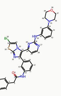 O=C(Cc1ccccc1)Nc1cccc(-c2nc3sc(Br)cn3c2-c2ccnc(Nc3cccc(N4CCOCC4)c3)n2)c1